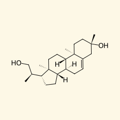 C[C@@H](CO)[C@H]1CC[C@H]2[C@@H]3CC=C4C[C@@](C)(O)CC[C@]4(C)[C@H]3CC[C@]12C